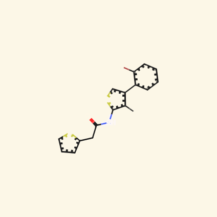 O=C(Cc1cccs1)Nc1scc(-c2ccccc2Br)c1C(=O)O